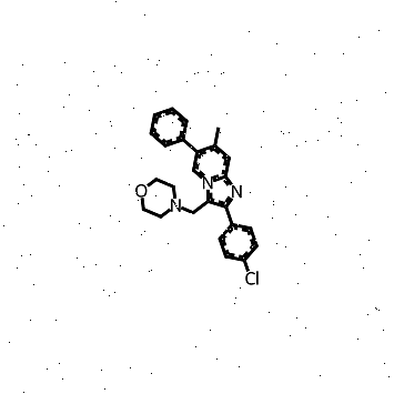 Cc1cc2nc(-c3ccc(Cl)cc3)c(CN3CCOCC3)n2cc1-c1ccccc1